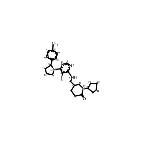 O=C1CCC(CNc2ncnc(N3CCCC3c3ccc(C(F)(F)F)cc3)c2F)CN1C1CCCC1